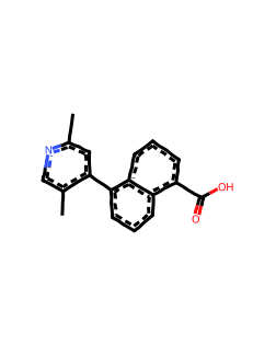 Cc1cc(-c2cccc3c(C(=O)O)cccc23)c(C)cn1